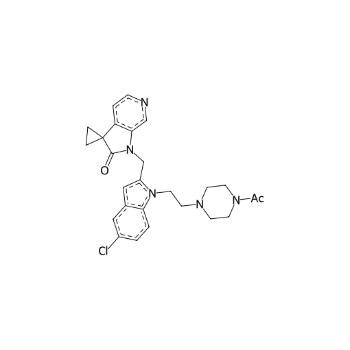 CC(=O)N1CCN(CCn2c(CN3C(=O)C4(CC4)c4ccncc43)cc3cc(Cl)ccc32)CC1